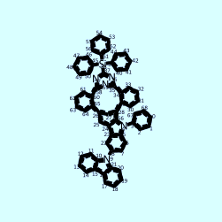 c1ccc(-n2c3ccc(-n4c5ccccc5c5ccccc54)cc3c3cc4cc(c5ccccc5c5nc([Si](c6ccccc6)(c6ccccc6)c6ccccc6)nc(n5)c5ccccc45)c32)cc1